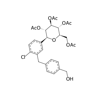 CC(=O)OC[C@H]1O[C@@H](c2ccc(Cl)c(Cc3ccc(CO)cc3)c2)[C@H](OC(C)=O)[C@@H](OC(C)=O)[C@@H]1OC(C)=O